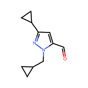 O=Cc1cc(C2CC2)nn1CC1CC1